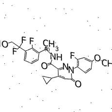 COc1ccc(-n2nc(C(=O)N[C@H](C)c3cccc(C(F)(F)CO)c3F)c(C3CC3)cc2=O)c(F)c1